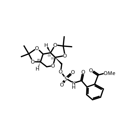 COC(=O)c1ccccc1C(=O)NS(=O)(=O)OC[C@@]12OC[C@H]3OC(C)(C)OC3[C@@H]1OC(C)(C)O2